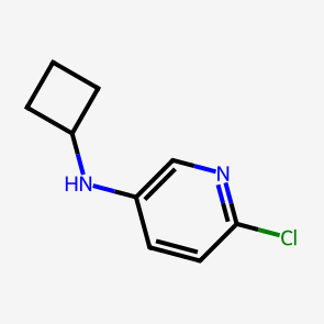 Clc1ccc(NC2CCC2)cn1